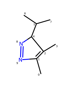 CC1=C(C)C(C(C)C)N=N1